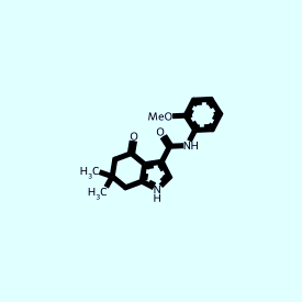 COc1ccccc1NC(=O)c1c[nH]c2c1C(=O)CC(C)(C)C2